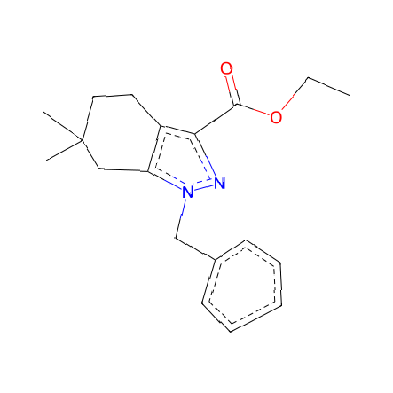 CCOC(=O)c1nn(Cc2ccccc2)c2c1CCC(C)(C)C2